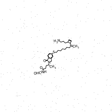 CC(CCC(=O)NC=O)N1Cc2cc(SCCCCCCCN(C)C3C=CC3CCCN)ccc2C1=O